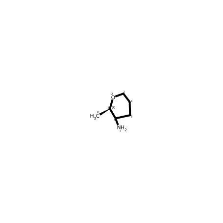 C[C@H]1OCCCC1N